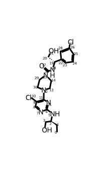 CC[C@@H](CO)Nc1ncc(Cl)c(N2CCN(C(=O)N[C@H](CO)c3cccc(Cl)c3)CC2)n1